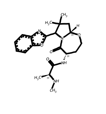 CN[C@@H](C)C(=O)N[C@H]1CCO[C@H]2CC(C)(C)C(c3nc4ccccc4o3)N2C1=O